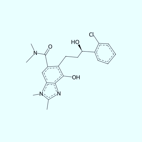 Cc1nc2c(O)c(CC[C@@H](O)c3ccccc3Cl)c(C(=O)N(C)C)cc2n1C